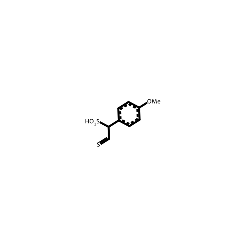 COc1ccc(C(C=S)S(=O)(=O)O)cc1